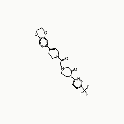 O=C(CN1CCN(c2ccc(C(F)(F)F)cn2)C(=O)C1)N1CC=C(c2ccc3c(c2)OCCO3)CC1